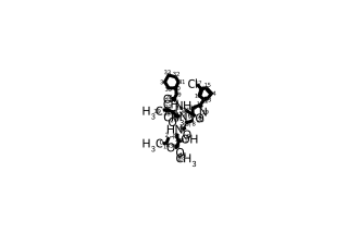 CCC[C@H](NC(=O)[C@@H]1C[C@]2(CC(c3cccc(Cl)c3)=NO2)CN1C(=O)[C@@H](NC(=O)CC1CCCCC1)C(C)(C)C)C(O)C(=O)OC